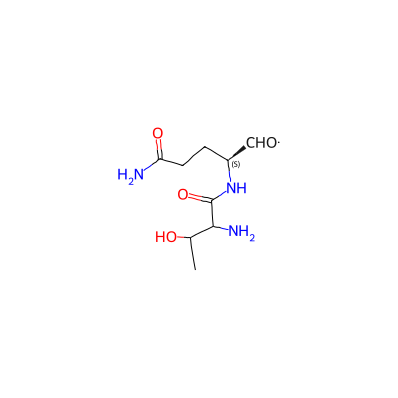 CC(O)C(N)C(=O)N[C@H]([C]=O)CCC(N)=O